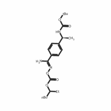 CCCCC(CC)OC(=O)ON=C(N)c1ccc([C@H](C)NC(=O)OC(C)(C)C)cc1